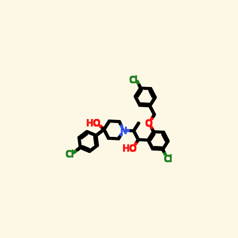 CC(C(O)c1cc(Cl)ccc1OCc1ccc(Cl)cc1)N1CCC(O)(c2ccc(Cl)cc2)CC1